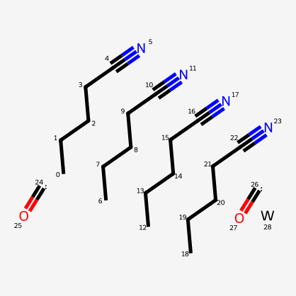 CCCCC#N.CCCCC#N.CCCCC#N.CCCCC#N.[C]=O.[C]=O.[W]